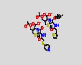 CC(=O)OCC1=C(C(=O)[O-])N2C(=O)[C@@H](NC(=O)CSc3ccncc3)[C@H]2SC1.CC(=O)OCC1=C(C(=O)[O-])N2C(=O)[C@@H](NC(=O)Cc3cccs3)[C@H]2SC1.[Na+].[Na+]